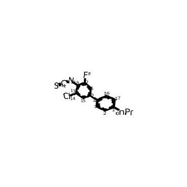 CCCc1ccc(-c2cc(F)c(N=C=S)c(Cl)c2)cc1